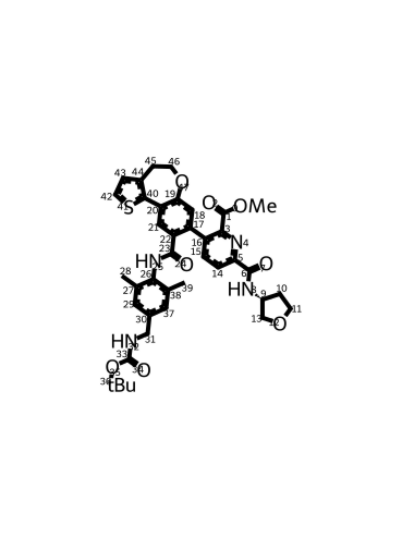 COC(=O)c1nc(C(=O)N[C@@H]2CCOC2)ccc1-c1cc2c(cc1C(=O)Nc1c(C)cc(CNC(=O)OC(C)(C)C)cc1C)-c1sccc1CCO2